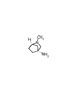 CN1C[C@@]2(N)CC[C@@H]1C2